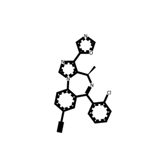 C#Cc1ccc2c(c1)C(c1ccccc1Cl)=N[C@H](C)c1c(-c3cnco3)ncn1-2